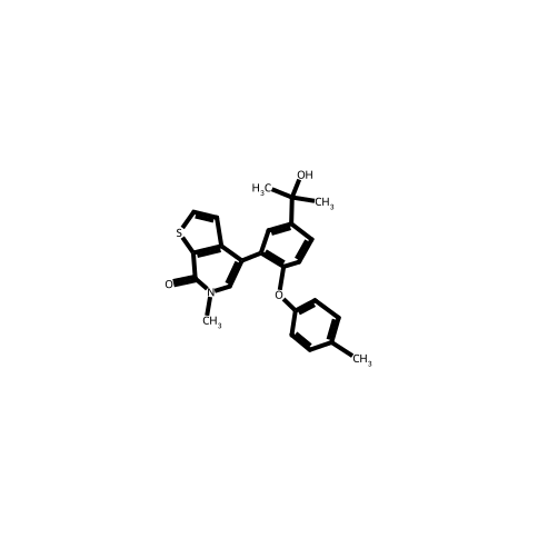 Cc1ccc(Oc2ccc(C(C)(C)O)cc2-c2cn(C)c(=O)c3sccc23)cc1